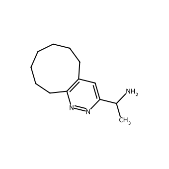 CC(N)c1cc2c(nn1)CCCCCCC2